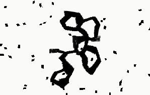 O=C(OC1(c2ccccc2)NCCc2ccccc21)[C@H](O)c1ccccc1